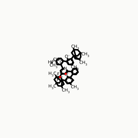 Cc1cc(-c2ccccc2-c2cc(C(F)(F)F)cc(-c3ccccc3-c3cc(C)cc(C45CC6(C)CC(C)(CC(C)(C6)C4)C5)c3[O-])n2)c([O-])c(C23CC4(C)CC(C)(CC(C)(C4)C2)C3)c1.[CH3][Hf+2][CH3]